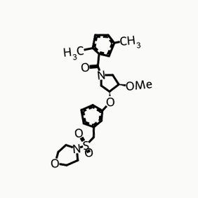 CO[C@@H]1CN(C(=O)c2cc(C)ccc2C)C[C@H]1Oc1cccc(CS(=O)(=O)N2CCOCC2)c1